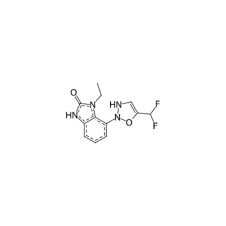 CCn1c(=O)[nH]c2cccc(N3NC=C(C(F)F)O3)c21